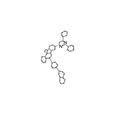 c1ccc(-c2cc(-c3ccc4oc5c6ccccc6c(-c6ccc(-c7ccc8ccccc8c7)cc6)cc5c4c3)nc(-c3ccccc3)n2)cc1